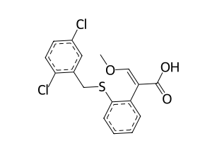 CO/C=C(/C(=O)O)c1ccccc1SCc1cc(Cl)ccc1Cl